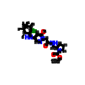 C[C@@H]1[C@@H](C)C(C)(C)[C@@H](C)C[C@H]1Nc1cnn(CC(=O)NC[C@H]2CCCN2C(=O)OC(C)(C)C)c(=O)c1Br